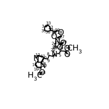 COC(=O)CCN(CCCc1ccnc2ccc(OC)nc12)C[C@@H]1CN(C2=COC=C(C3=CC=CCC3)O2)C(=O)O1